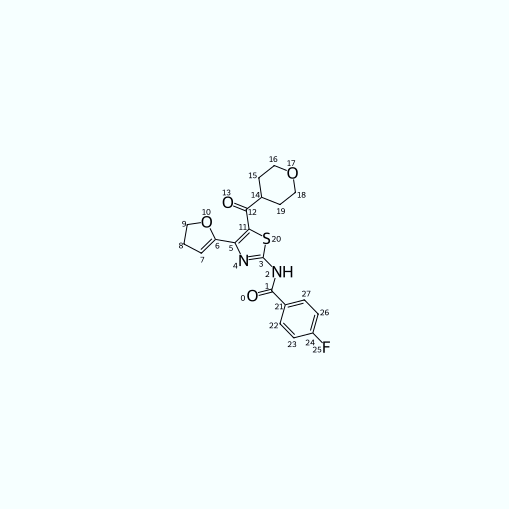 O=C(Nc1nc(C2=CCCO2)c(C(=O)C2CCOCC2)s1)c1ccc(F)cc1